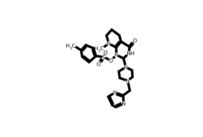 Cc1ccc(S(=O)(=O)ON2C3=C(CCCN3C)C(=O)NC2N2CCN(Cc3ncccn3)CC2)cc1